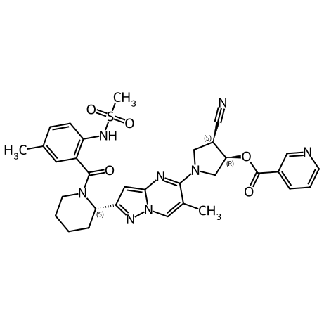 Cc1ccc(NS(C)(=O)=O)c(C(=O)N2CCCC[C@H]2c2cc3nc(N4C[C@@H](C#N)[C@@H](OC(=O)c5cccnc5)C4)c(C)cn3n2)c1